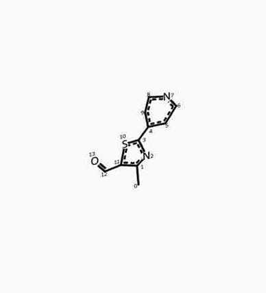 Cc1nc(-c2ccncc2)sc1C=O